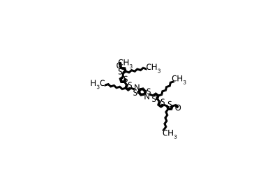 CCCCCCCCc1cc(C=O)sc1-c1ccc(-c2sc(-c3nc4cc5sc(-c6cc(CCCCCCCC)c(-c7ccc(-c8sc(OC)cc8CCCCCCCC)s7)s6)nc5cc4s3)cc2CCCCCCCC)s1